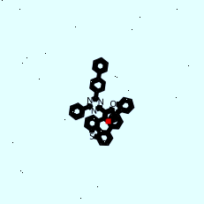 C1=C(c2ccccc2)CCC(c2nc(-c3ccccc3)nc(-c3c(-c4cccc5sc6cccc(-c7ccccc7)c6c45)ccc4c3oc3ccccc34)n2)=C1